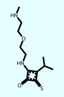 CNCCOCCNc1c(C(C)C)c(=S)c1=O